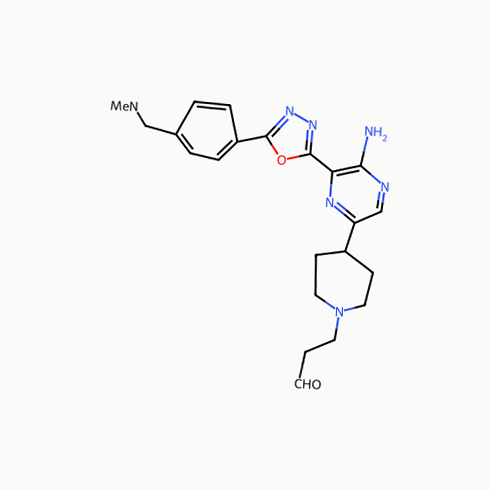 CNCc1ccc(-c2nnc(-c3nc(C4CCN(CCC=O)CC4)cnc3N)o2)cc1